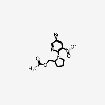 CC(=O)OCC1CCCN1c1ncc(Br)cc1[N+](=O)[O-]